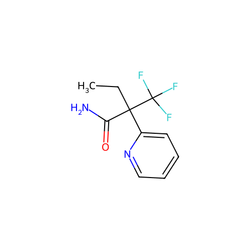 CCC(C(N)=O)(c1ccccn1)C(F)(F)F